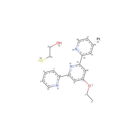 CCOc1cc(-c2ccccn2)nc(-c2ccccn2)c1.OCCS.[Pt]